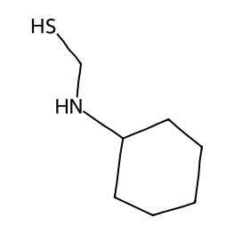 SCNC1CCCCC1